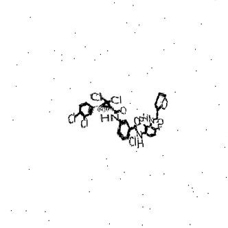 O=C(Nc1ccc(F)c(NC(=O)C2CCCO2)c1F)c1cc(NC(=O)[C@H]2[C@H](c3ccc(Cl)c(Cl)c3)C2(Cl)Cl)ccc1Cl